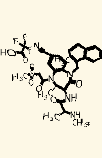 CN[C@@H](C)C(=O)N[C@@H]1C(=O)N(Cc2c(C)ccc3ccccc23)c2ccc(C#N)cc2N(C(=O)CS(C)(=O)=O)[C@H]1C.O=C(O)C(F)(F)F